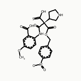 COc1ccc(NC(=O)[C@@](C(=O)OCc2ccc([N+](=O)[O-])cc2)(C(O)=S)C2CCNC2)c(C(=O)O)c1